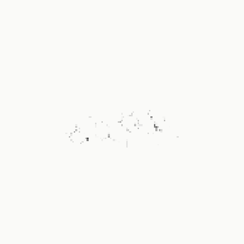 CN1C2CCC1[C@H](F)[C@H](N(C)c1ccc(-c3cc(F)c(-n4ccnn4)cc3O)nn1)C2